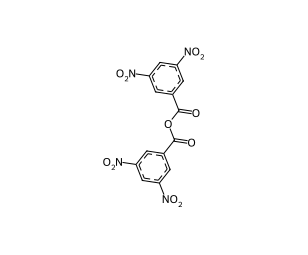 O=C(OC(=O)c1cc([N+](=O)[O-])cc([N+](=O)[O-])c1)c1cc([N+](=O)[O-])cc([N+](=O)[O-])c1